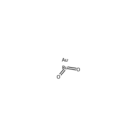 [Au].[O]=[Ru]=[O]